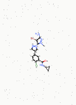 Cn1nc(N)c(Br)c1-n1cc(-c2ccc(Cl)c(C(=O)NC3CC3)c2)cn1